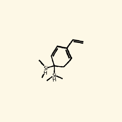 C=CC1=CCC([SiH](C)C)([SiH](C)C)C=C1